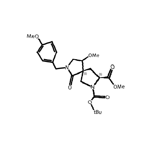 COC(=O)[C@@H]1C[C@@]2(CN1C(=O)OC(C)(C)C)C(=O)N(Cc1ccc(OC)cc1)CC2OC